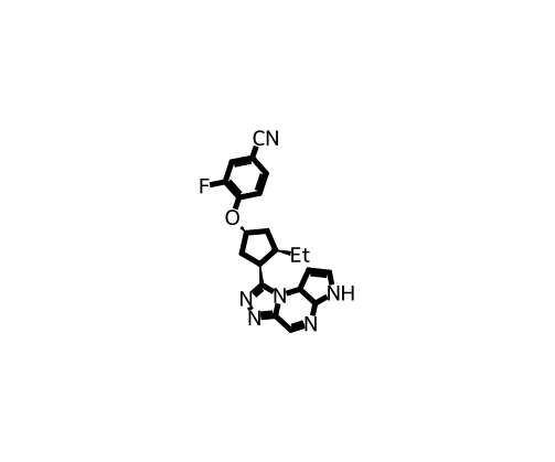 CC[C@@H]1C[C@@H](Oc2ccc(C#N)cc2F)C[C@@H]1c1nnc2n1C1C=CNC1N=C2